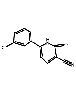 N#Cc1ccc(-c2cccc(Cl)c2)[nH]c1=O